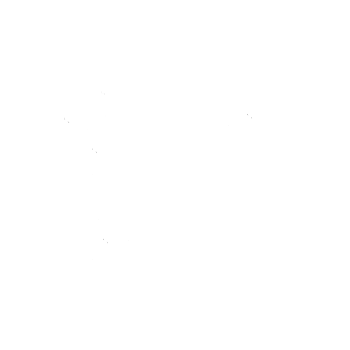 c1ccc(-n2c3ccccc3c3cc(-c4cc5c6nc7ccccc7nc6n6c7ccc8c(c9ccccc9n8-c8ccccc8)c7c(c4)c56)ccc32)cc1